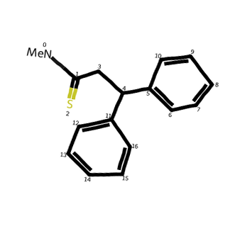 CNC(=S)CC(c1ccccc1)c1ccccc1